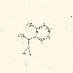 Cc1ccccc1C(N)C1CC1